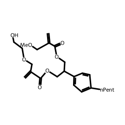 C=C(COC)C(=O)OCC(COC(=O)C(=C)COCCO)c1ccc(CCCCC)cc1